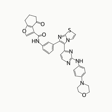 O=C(Nc1cccc(-c2nc3sccn3c2-c2ccnc(Nc3ccc(N4CCOCC4)cc3)n2)c1)c1coc2c1C(=O)CCC2